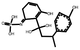 CC(CC(O)(O)C1=C(O)C=CCC1=NP(=O)(O)O)c1ccc(O)cc1